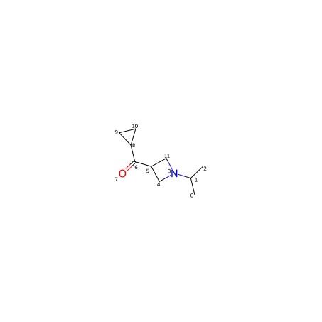 CC(C)N1CC(C(=O)C2CC2)C1